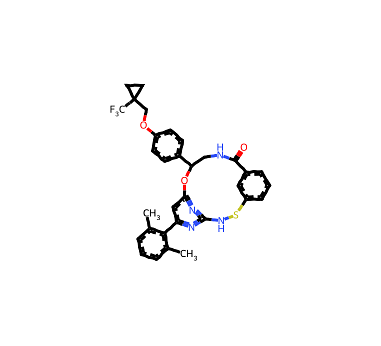 Cc1cccc(C)c1-c1cc2nc(n1)NSc1cccc(c1)C(=O)NCC(c1ccc(OCC3(C(F)(F)F)CC3)cc1)O2